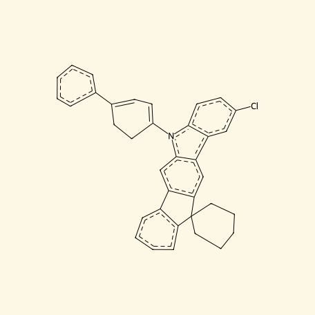 Clc1ccc2c(c1)c1cc3c(cc1n2C1=CC=C(c2ccccc2)CC1)-c1ccccc1C31CCCCC1